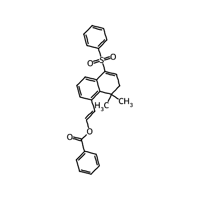 CC1(C)CC=C(S(=O)(=O)c2ccccc2)c2cccc(C=COC(=O)c3ccccc3)c21